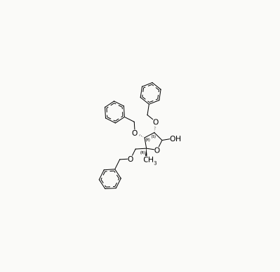 C[C@]1(COCc2ccccc2)OC(O)[C@@H](OCc2ccccc2)[C@H]1OCc1ccccc1